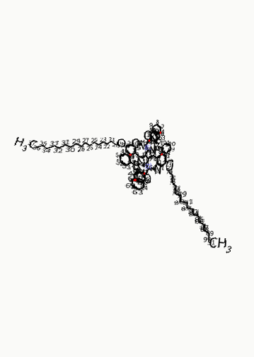 [C-]#[N+]/C(c1nc2ccccc2o1)=c1\c2c(-c3ccc(OCCCCCCCCCCCCCCCCCC)cc3)n(B(c3ccccc3)c3ccccc3)/c(=C(/C#N)c3nc4ccccc4o3)c2c(-c2ccc(OCCCCCCCCCCCCCCCCCC)cc2)n1B(c1ccccc1)c1ccccc1